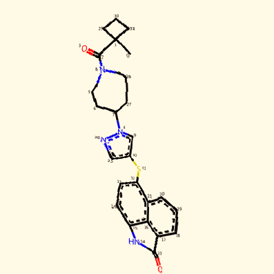 CC1(C(=O)N2CCC(n3cc(Sc4ccc5c6c(cccc46)C(=O)N5)cn3)CC2)CCC1